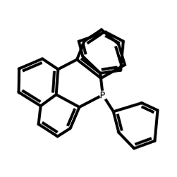 c1ccc(-c2cccc3cccc(P(c4ccccc4)c4ccccc4)c23)cc1